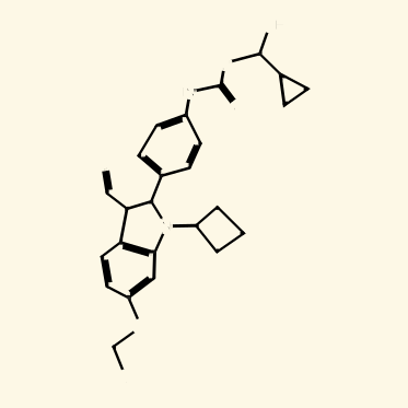 CCOc1ccc2c(c1)N(C1CCC1)C(c1ccc(NC(=O)OC(C)C3CC3)cc1)C2C=O